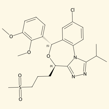 COc1cccc([C@H]2O[C@H](CCCS(C)(=O)=O)c3nnc(C(C)C)n3-c3ccc(Cl)cc32)c1OC